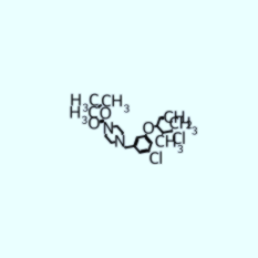 C=CC(Oc1cc(Cl)cc(CN2CCN(C(=O)OC(C)(C)C)CC2)c1)[C@@H](C)[C@H](C)Cl